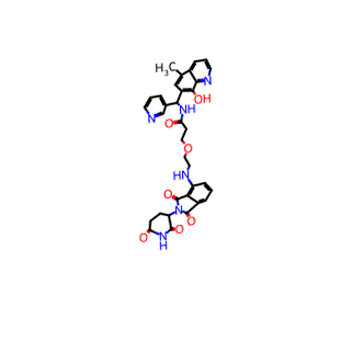 Cc1cc(C(NC(=O)CCOCCNc2cccc3c2C(=O)N(C2CCC(=O)NC2=O)C3=O)c2cccnc2)c(O)c2ncccc12